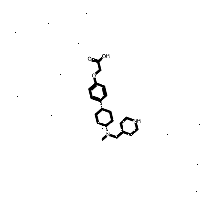 CN(CC1CCNCC1)[C@H]1CC[C@H](c2ccc(OCC(=O)O)cc2)CC1